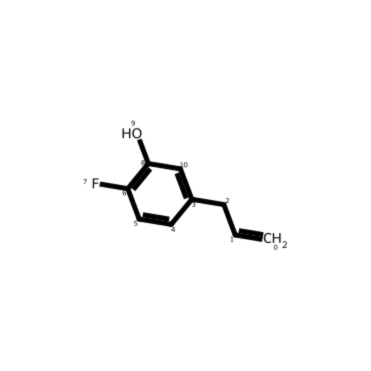 C=CCc1ccc(F)c(O)c1